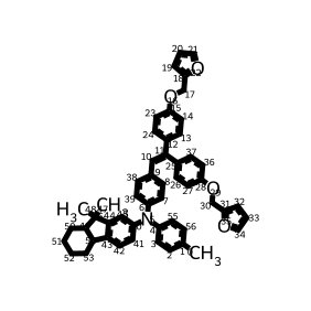 Cc1ccc(N(c2ccc(C=C(c3ccc(OCc4ccco4)cc3)c3ccc(OCc4ccco4)cc3)cc2)c2ccc3c(c2)C(C)(C)C2CCCCC32)cc1